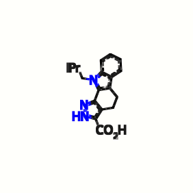 CC(C)Cn1c2c(c3ccccc31)CCc1c-2n[nH]c1C(=O)O